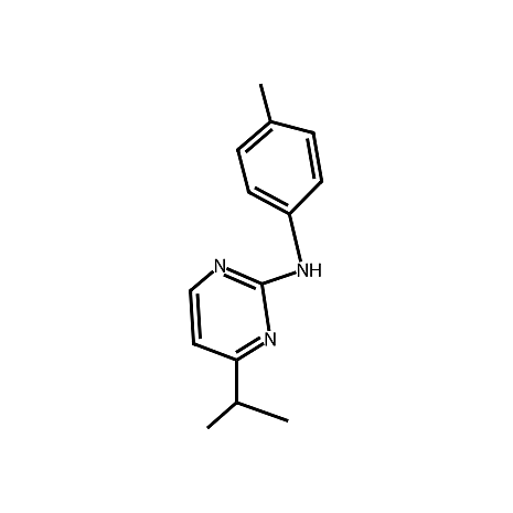 Cc1ccc(Nc2nccc(C(C)C)n2)cc1